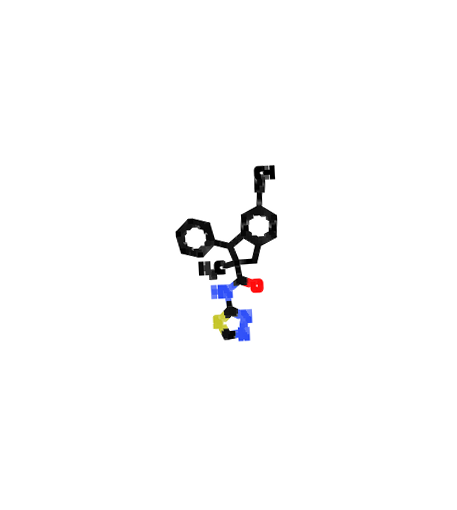 C#Cc1ccc2c(c1)C(c1ccccc1)C(C)(C(=O)Nc1nncs1)C2